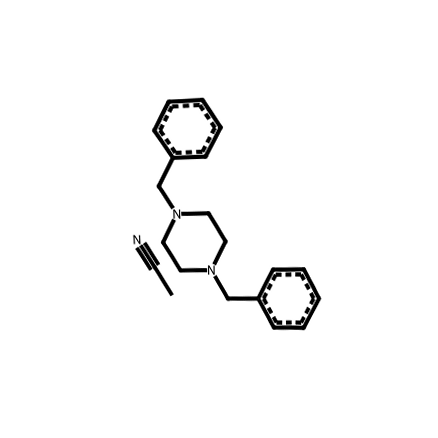 CC#N.c1ccc(CN2CCN(Cc3ccccc3)CC2)cc1